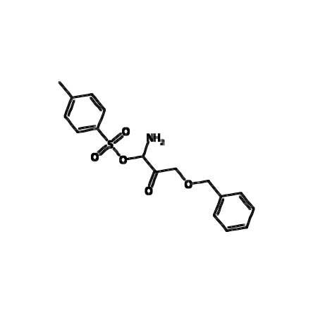 Cc1ccc(S(=O)(=O)OC(N)C(=O)COCc2ccccc2)cc1